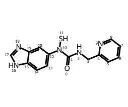 O=C(NCc1ccccn1)N(S)c1ccc2[nH]cnc2c1